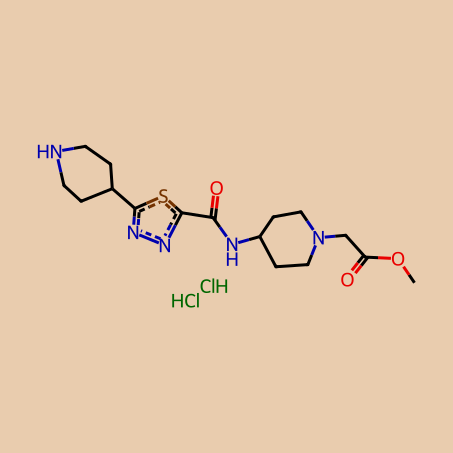 COC(=O)CN1CCC(NC(=O)c2nnc(C3CCNCC3)s2)CC1.Cl.Cl